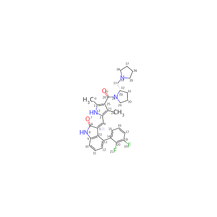 Cc1[nH]c(/C=C2\C(=O)Nc3cccc(-c4cccc(F)c4F)c32)c(C)c1C(=O)N1CCC[C@H]1CN1CCCC1